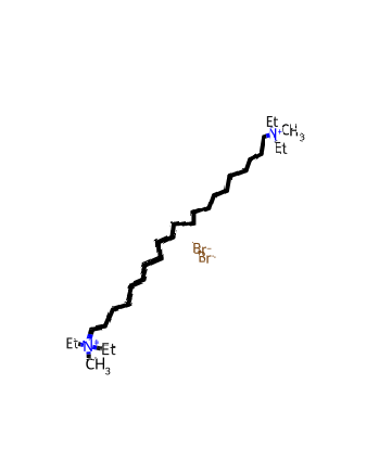 CC[N+](C)(CC)CCCCCCCCCCCCCCCCCCCCC[N+](C)(CC)CC.[Br-].[Br-]